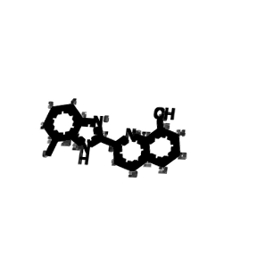 Cc1cccc2nc(-c3ccc4cccc(O)c4n3)[nH]c12